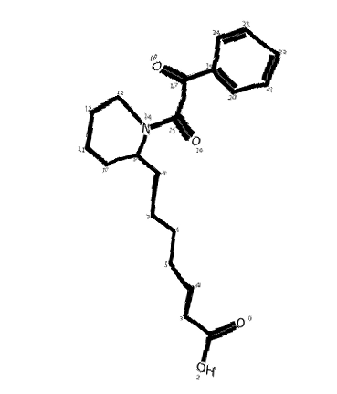 O=C(O)CCCCCCC1CCCCN1C(=O)C(=O)c1ccccc1